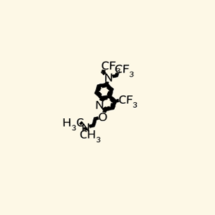 CN(C)CCOc1cc(C(F)(F)F)c2cc(N(CC(F)(F)F)CC(F)(F)F)ccc2n1